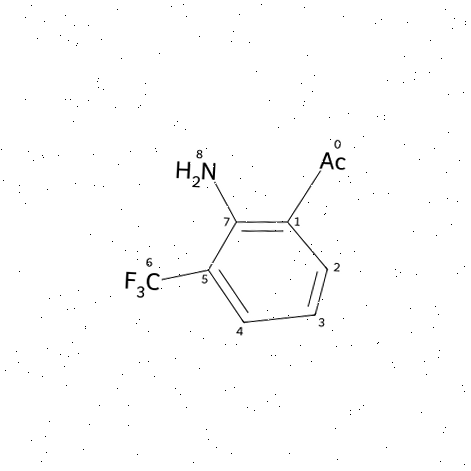 CC(=O)c1cccc(C(F)(F)F)c1N